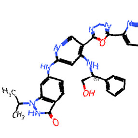 CC(C)n1[nH]c(=O)c2ccc(Nc3cc(N[C@H](CO)c4ccccc4)c(-c4nnc(-c5ccccn5)o4)cn3)cc21